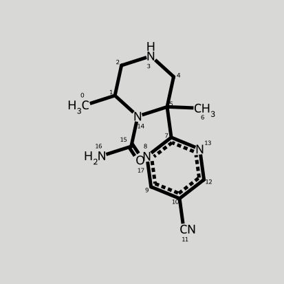 CC1CNCC(C)(c2ncc(C#N)cn2)N1C(N)=O